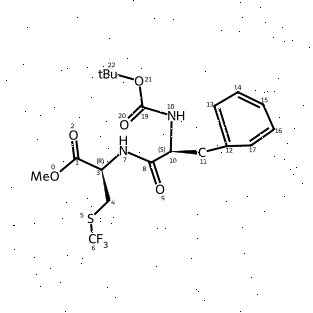 COC(=O)[C@H](CSC(F)(F)F)NC(=O)[C@H](Cc1ccccc1)NC(=O)OC(C)(C)C